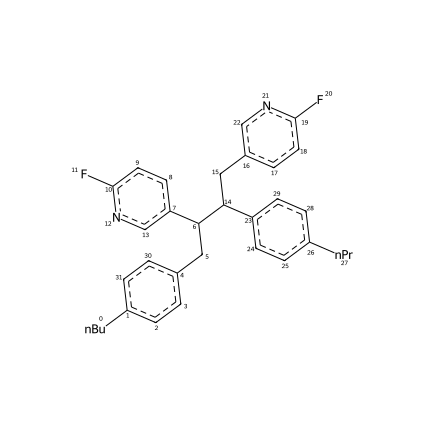 CCCCc1ccc(CC(c2ccc(F)nc2)C(Cc2ccc(F)nc2)c2ccc(CCC)cc2)cc1